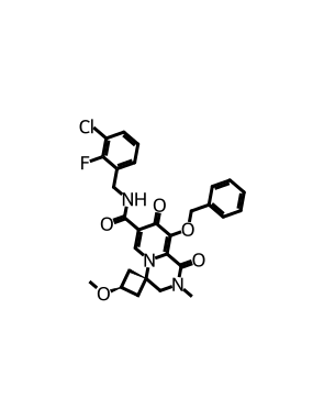 CO[C@H]1C[C@@]2(CN(C)C(=O)c3c(OCc4ccccc4)c(=O)c(C(=O)NCc4cccc(Cl)c4F)cn32)C1